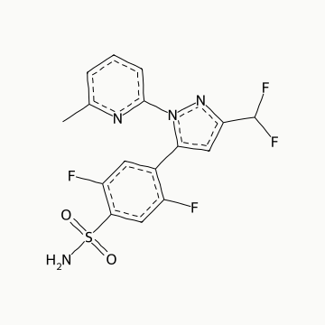 Cc1cccc(-n2nc(C(F)F)cc2-c2cc(F)c(S(N)(=O)=O)cc2F)n1